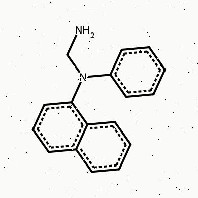 NCN(c1ccccc1)c1cccc2ccccc12